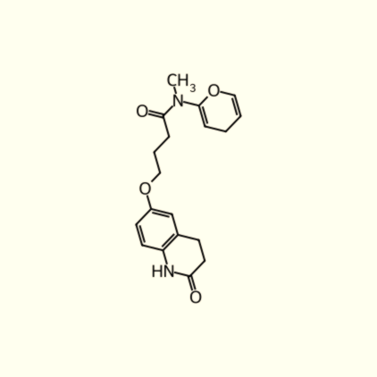 CN(C(=O)CCCOc1ccc2c(c1)CCC(=O)N2)C1=CCC=CO1